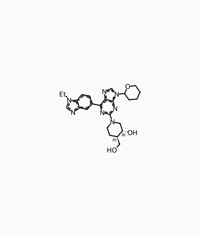 CCn1cnc2cc(-c3nc(N4CC[C@H](CO)[C@@H](O)C4)nc4c3ncn4C3CCCCO3)ccc21